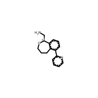 NC[C@@H]1OCCCc2c(-c3ccccn3)cccc21